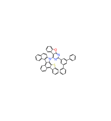 c1ccc(-c2cc(-c3ccccc3)cc(-c3nc(-n4c5ccc6ccccc6c5c5c6ccccc6c6c7ccccc7sc6c54)c4c(n3)oc3ccccc34)c2)cc1